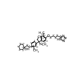 CCC(CC)(c1ccc(CCC2(O)CCCCC2)c(C)c1)c1ccc(OCCCCc2nnn[nH]2)c(C)c1